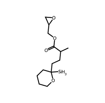 CC(CCC1([SiH3])CCCCO1)C(=O)OCC1CO1